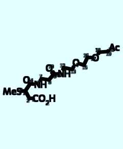 CSC(CC(=O)O)C(=O)NCCC(=O)NCCOCCOCCC(C)=O